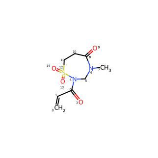 C=CC(=O)N1CN(C)C(=O)CCS1(=O)=O